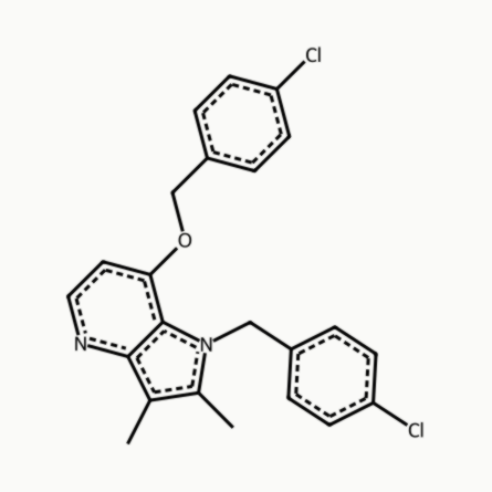 Cc1c(C)n(Cc2ccc(Cl)cc2)c2c(OCc3ccc(Cl)cc3)ccnc12